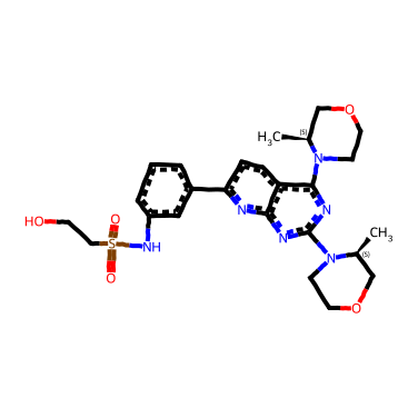 C[C@H]1COCCN1c1nc(N2CCOC[C@@H]2C)c2ccc(-c3cccc(NS(=O)(=O)CCO)c3)nc2n1